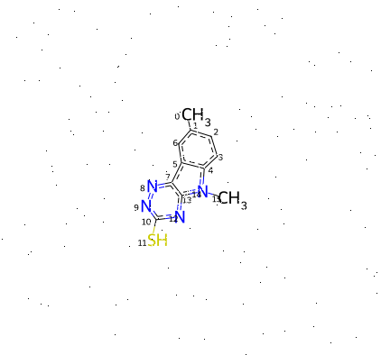 Cc1ccc2c(c1)c1nnc(S)nc1n2C